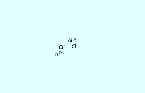 [Al+3].[Cl-].[Cl-].[Ti+3]